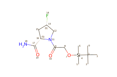 CC(C)(C)[Si](C)(C)OCC(=O)N1C[C@@H](F)C[C@H]1C(N)=O